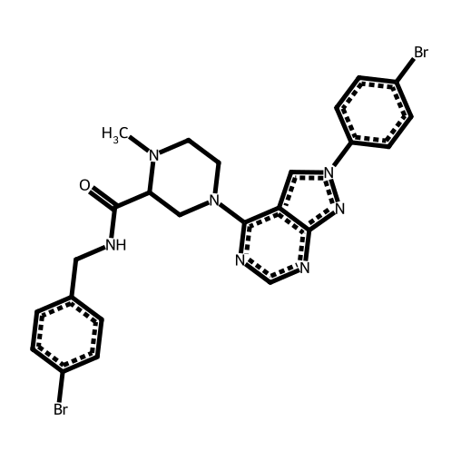 CN1CCN(c2ncnc3nn(-c4ccc(Br)cc4)cc23)CC1C(=O)NCc1ccc(Br)cc1